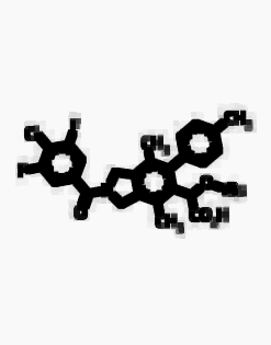 Cc1ccc(-c2c(C)c3c(c(C)c2C(OC(C)(C)C)C(=O)O)CN(C(=O)c2cc(F)c(Cl)c(F)c2)C3)cc1